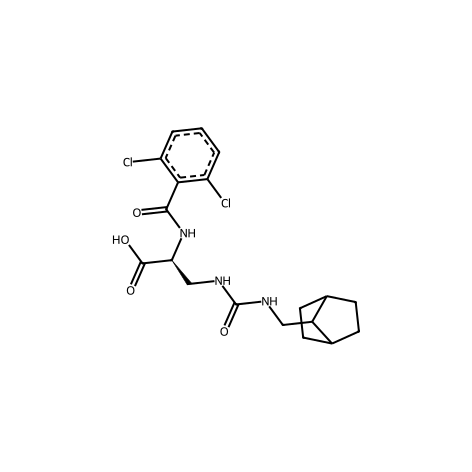 O=C(NCC1C2CCC1CC2)NC[C@H](NC(=O)c1c(Cl)cccc1Cl)C(=O)O